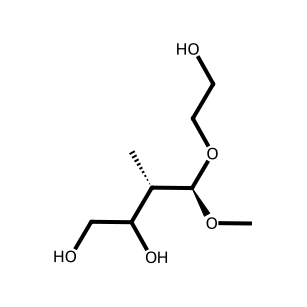 CO[C@H](OCCO)[C@@H](C)C(O)CO